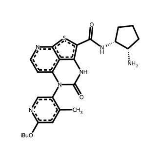 Cc1cc(OCC(C)C)ncc1N1C(=O)Nc2c(C(=O)N[C@@H]3CCC[C@@H]3N)sc3nccc1c23